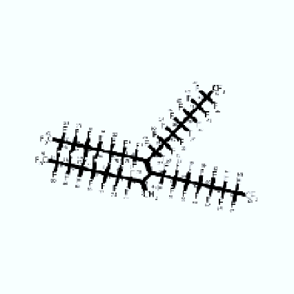 C=C(C(=C(C(F)(F)C(F)(F)C(F)(F)C(F)(F)C(F)(F)C(F)(F)C(F)(F)C(F)(F)F)C(F)(F)C(F)(F)C(F)(F)C(F)(F)C(F)(F)C(F)(F)C(F)(F)C(F)(F)F)C(F)(F)C(F)(F)C(F)(F)C(F)(F)C(F)(F)C(F)(F)C(F)(F)C(F)(F)F)C(F)(F)C(F)(F)C(F)(F)C(F)(F)C(F)(F)C(F)(F)C(F)(F)C(F)(F)F